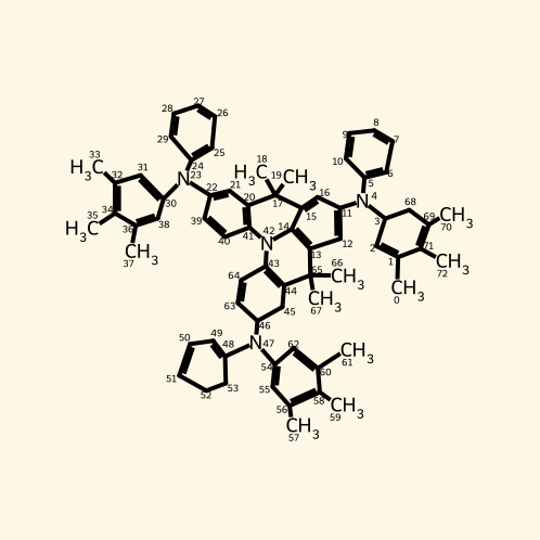 CC1=CC(N(c2ccccc2)c2cc3c4c(c2)C(C)(C)c2cc(N(c5ccccc5)c5cc(C)c(C)c(C)c5)ccc2N4C2=C(CC(N(C4=CC=CCC4)c4cc(C)c(C)c(C)c4)C=C2)C3(C)C)CC(C)=C1C